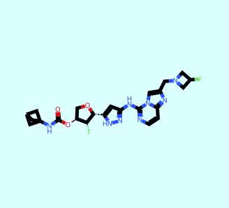 O=C(NC12CC(C1)C2)O[C@@H]1CO[C@H](c2cc(Nc3nccc4nc(CN5CC(F)C5)cn34)n[nH]2)[C@@H]1F